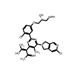 CCc1cc2c(cn1)CN(c1nc(-c3cc(OC[C@H](O)CNC)ccc3Cl)nc(/C(C(C)=N)=C(\C)O)c1C)C2